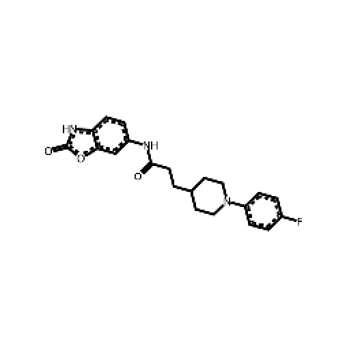 O=C(CCC1CCN(c2ccc(F)cc2)CC1)Nc1ccc2[nH]c(=O)oc2c1